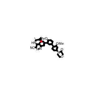 COc1cc(N2CCOCC2=O)ccc1-c1ccc(OC)c(-c2ccc3c(N[C@H](C)C4CC4)c(C#N)nnc3c2)c1